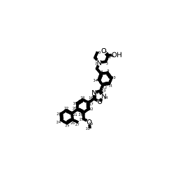 CCN(CC(=O)O)Cc1cccc(-c2noc(-c3ccc(-c4ccccc4C)c(COC)c3)n2)c1